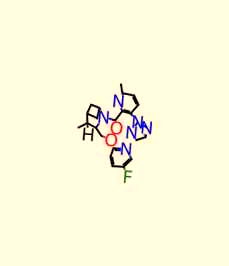 Cc1ccc(-n2nccn2)c(C(=O)N2C3CC(C3)[C@@H](C)C2COc2ccc(F)cn2)n1